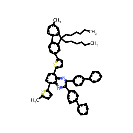 CCCCCCC1(CCCCCC)c2cc(C)ccc2-c2ccc(-c3ccc(-c4ccc(-c5ccc(C)s5)c5nc(-c6ccc(-c7ccccc7)cc6)c(-c6ccc(-c7ccccc7)cc6)nc45)s3)cc21